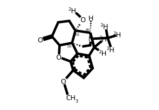 [2H]O[C@@]12CCC(=O)C3Oc4c(OC)ccc5c4[C@@]31CCN(C([2H])([2H])[2H])[C@@H]2C5([2H])[2H]